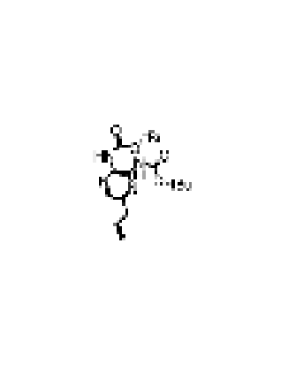 C=CCc1cnc(NC(=O)OC(C)(C)C)c(NC(=O)OC(C)(C)C)n1